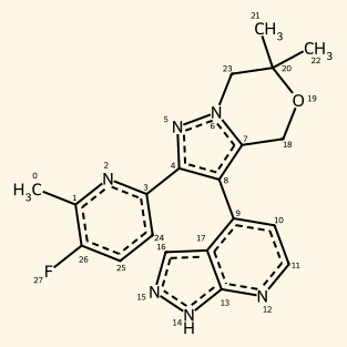 Cc1nc(-c2nn3c(c2-c2ccnc4[nH]ncc24)COC(C)(C)C3)ccc1F